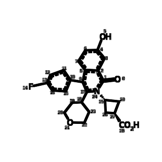 O=c1c2cc(O)ccc2c(-c2ccc(F)cc2)c(C2CCOCC2)n1[C@H]1C[C@H](C(=O)O)C1